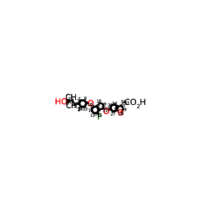 CC(C)(O)CCc1ccc(Oc2ccc(F)c3c2CC[C@H]3Oc2ccc3c(c2)OC[C@H]3CC(=O)O)cc1